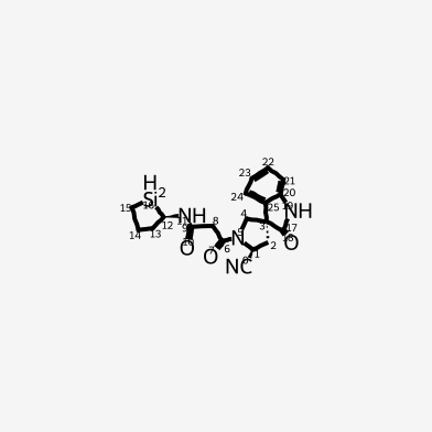 N#C[C@@H]1C[C@@]2(CN1C(=O)CC(=O)N[C@H]1CCC[SiH2]1)C(=O)Nc1ccccc12